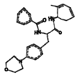 CC1=CC=CCC1NC(=O)C(Cc1ccc(N2CCOCC2)cc1)NC(=O)c1ccccc1